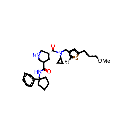 CCc1sc(CCCOC)cc1CN(C(=O)[C@H]1CNCC(C(=O)NC2(c3ccccc3)CCCC2)C1)C1CC1